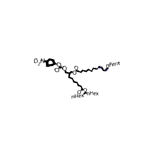 CCCCC/C=C\C/C=C\CCCCCCCC(=O)OCC(CCCCCCC(=O)OC(CCCCCC)CCCCCC)COC(=O)Oc1ccc([N+](=O)[O-])cc1